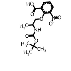 CC(COc1c(C(=O)O)cccc1[N+](=O)[O-])NC(=O)OC(C)(C)C